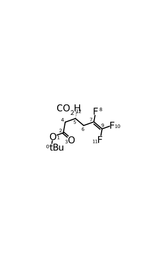 CC(C)(C)OC(=O)C[C@@H](CC(F)=C(F)F)C(=O)O